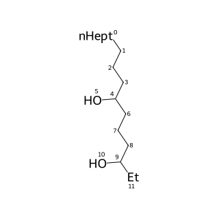 CCCCCCCCCCC(O)CCCC(O)CC